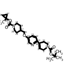 CC(C)(C)OC(=O)N1CC=C(c2ccc(OCC3CCN(C(=O)OC4(C)CC4)CC3)cn2)CC1